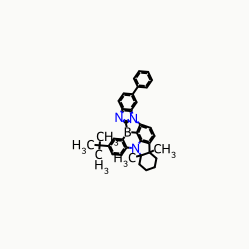 CC(C)(C)c1ccc2c(c1)B1c3c(ccc4c3N2C2(C)CCCCC42C)-n2c1nc1ccc(-c3ccccc3)cc12